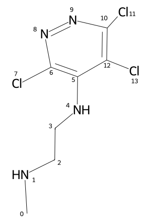 CNCCNc1c(Cl)nnc(Cl)c1Cl